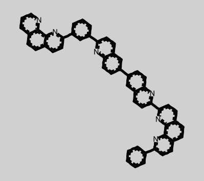 c1ccc(-c2ccc3ccc4ccc(-c5ccc6cc(-c7ccc8nc(-c9cccc(-c%10ccc%11ccc%12cccnc%12c%11n%10)c9)ccc8c7)ccc6n5)nc4c3n2)cc1